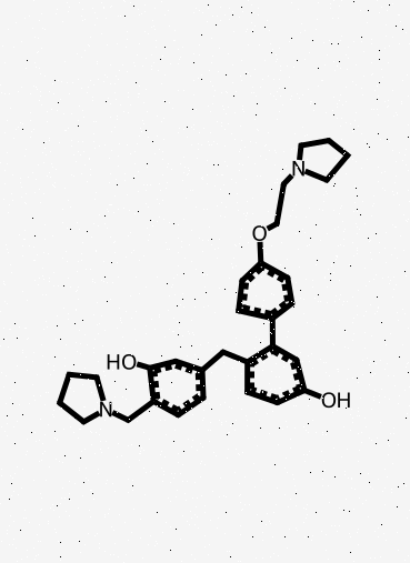 Oc1ccc(Cc2ccc(CN3CCCC3)c(O)c2)c(-c2ccc(OCCN3CCCC3)cc2)c1